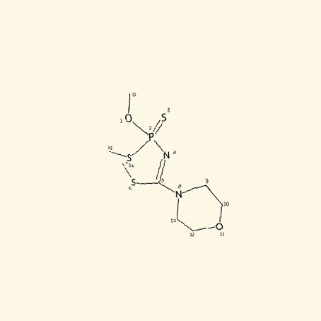 COP(=S)(N=C(SC)N1CCOCC1)SC